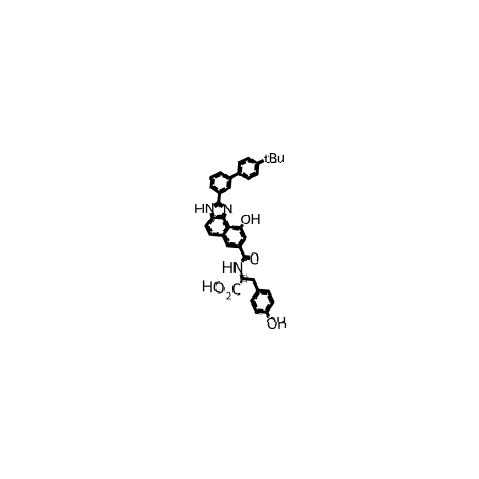 CC(C)(C)c1ccc(-c2cccc(-c3nc4c(ccc5cc(C(=O)N[C@@H](Cc6ccc(O)cc6)C(=O)O)cc(O)c54)[nH]3)c2)cc1